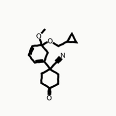 COC1(OCC2CC2)C=CC=C(C2(C#N)CCC(=O)CC2)C1